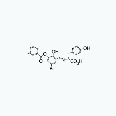 Cc1cccc(C(=O)Oc2cc(Br)cc(C=NC(Cc3ccc(O)cc3)C(=O)O)c2O)c1